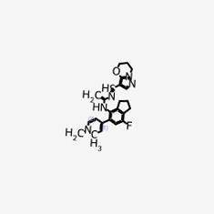 C=N/C=C\C(=C/C)c1cc(F)c2c(c1NC(=C)N=[SH]c1cnn3c1OCCC3)CCC2